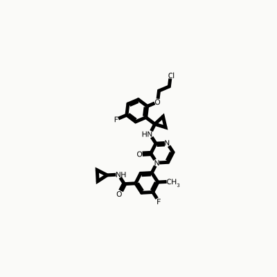 Cc1c(F)cc(C(=O)NC2CC2)cc1-n1ccnc(NC2(c3cc(F)ccc3OCCCl)CC2)c1=O